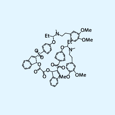 CCC(Oc1ccc(S(=O)(=O)C2=Cc3ccccc3C2OC(=O)C(=O)OC2C(S(=O)(=O)c3ccc(OC(CC)N(C)CCc4ccc(OC)c(OC)c4)cc3)=Cc3ccccc32)cc1)N(C)CCc1ccc(OC)c(OC)c1